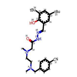 CN(CCN(C)Cc1ccc(C#N)cc1)CC(=O)NN=Cc1cc(C(C)(C)C)cc(C(C)(C)C)c1O